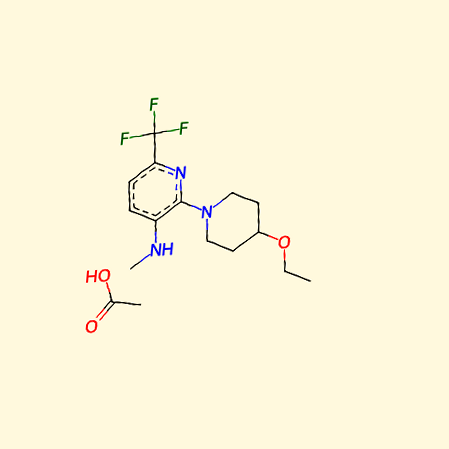 CC(=O)O.CCOC1CCN(c2nc(C(F)(F)F)ccc2NC)CC1